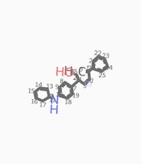 C=C(/C=C\C(CO)c1ccc(N[C@@H]2C=CC=CC2)cc1)c1ccccc1